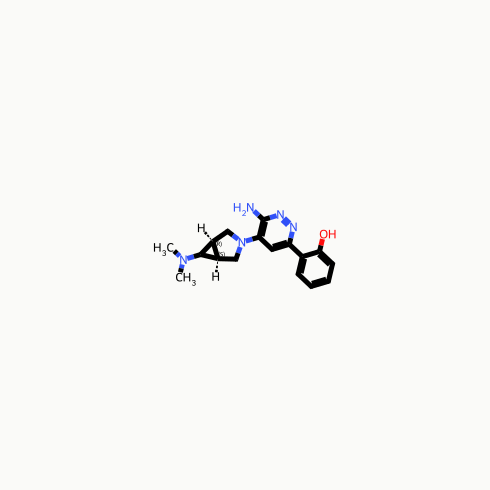 CN(C)C1[C@H]2CN(c3cc(-c4ccccc4O)nnc3N)C[C@@H]12